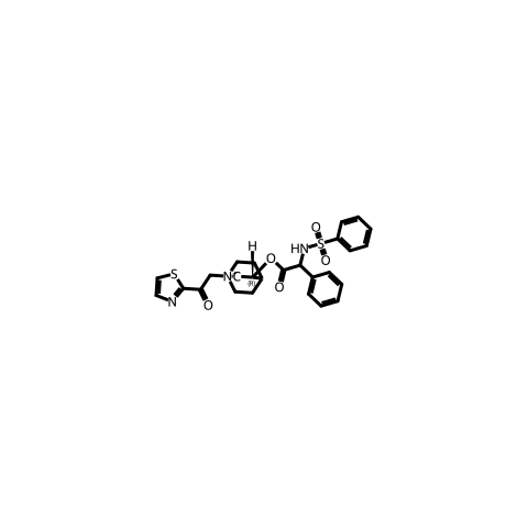 O=C(C[N+]12CCC(CC1)[C@@H](OC(=O)C(NS(=O)(=O)c1ccccc1)c1ccccc1)C2)c1nccs1